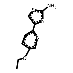 CCOc1ccc(-c2csc(N)n2)nc1